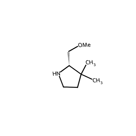 COC[C@H]1NCCC1(C)C